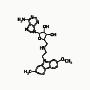 COc1ccc2c3ccc(C)cc3n(CCNCC3OC(n4cnc5c(N)ncnc54)C(O)C3O)c2c1